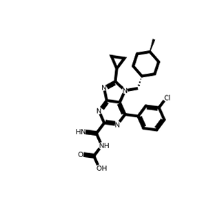 C[C@H]1CC[C@H](Cn2c(C3CC3)nc3nc(C(=N)NC(=O)O)nc(-c4cccc(Cl)c4)c32)CC1